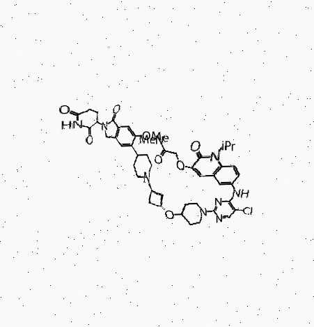 CNC(=O)COc1cc2cc(Nc3nc(N4CCC(O[C@H]5C[C@H](N6CCC(c7cc8c(cc7OC)C(=O)N(C7CCC(=O)NC7=O)C8)CC6)C5)CC4)ncc3Cl)ccc2n(C(C)C)c1=O